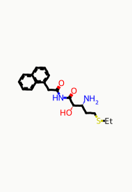 CCSCC[C@@H](N)[C@H](O)C(=O)NC(=O)Cc1cccc2ccccc12